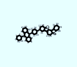 c1ccc(-c2c3ccccc3c(-c3ccc(-c4ccc5oc6c(ccc7sc8ccccc8c76)c5c4)cc3)c3ccccc23)cc1